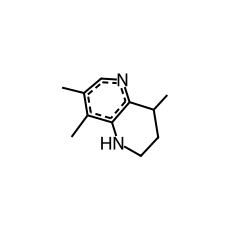 Cc1cnc2c(c1C)NCCC2C